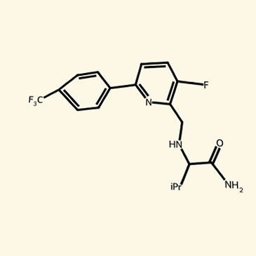 CC(C)C(NCc1nc(-c2ccc(C(F)(F)F)cc2)ccc1F)C(N)=O